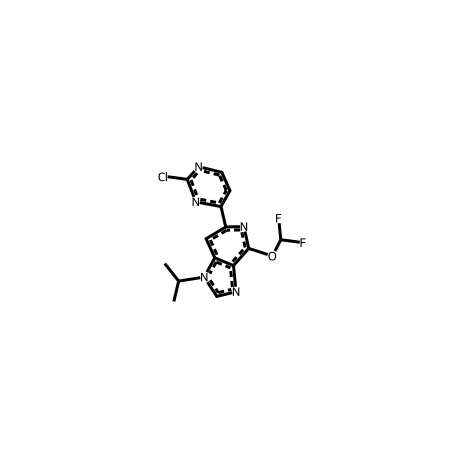 CC(C)n1cnc2c(OC(F)F)nc(-c3ccnc(Cl)n3)cc21